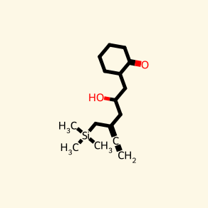 C=C=C(CC(O)CC1CCCCC1=O)C[Si](C)(C)C